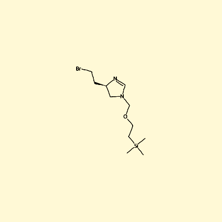 C[Si](C)(C)CCOCN1C=N[C@H](CCBr)C1